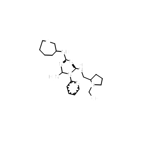 CCN1CCCC1CNC1=NC(NC2CCCCCC2)=NC(N)N1c1ccccn1